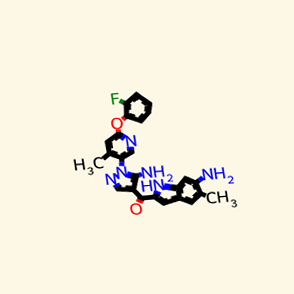 Cc1cc2cc(C(=O)c3cnn(-c4cnc(Oc5ccccc5F)cc4C)c3N)[nH]c2cc1N